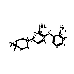 CC1(N)CCN(c2cnc(Sc3cccnc3C(F)(F)F)c(N)n2)CC1